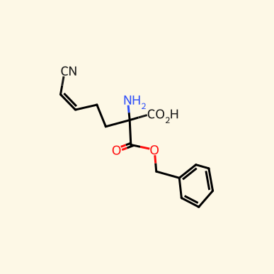 N#C/C=C\CCC(N)(C(=O)O)C(=O)OCc1ccccc1